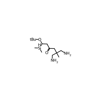 C[SiH](C)C(CC(=O)CC(C)(CN)CN)OC(C)(C)C